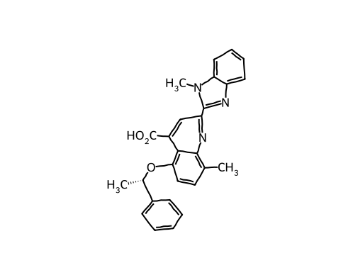 Cc1ccc(O[C@@H](C)c2ccccc2)c2c(C(=O)O)cc(-c3nc4ccccc4n3C)nc12